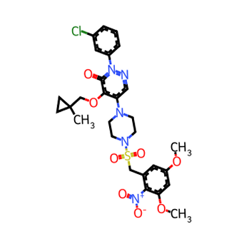 COc1cc(CS(=O)(=O)N2CCN(c3cnn(-c4cccc(Cl)c4)c(=O)c3OCC3(C)CC3)CC2)c([N+](=O)[O-])c(OC)c1